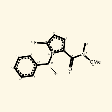 CON(C)C(=O)c1ccc(F)n1[C@H](C)c1ccccc1